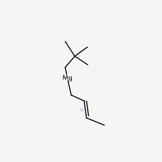 C/C=C/[CH2][Mg][CH2]C(C)(C)C